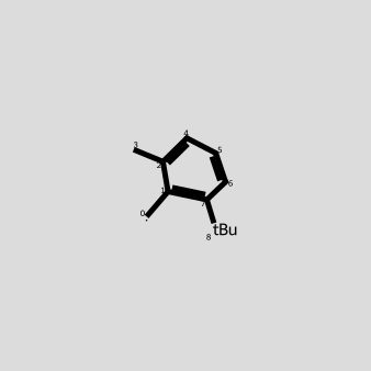 [CH2]c1c(C)cccc1C(C)(C)C